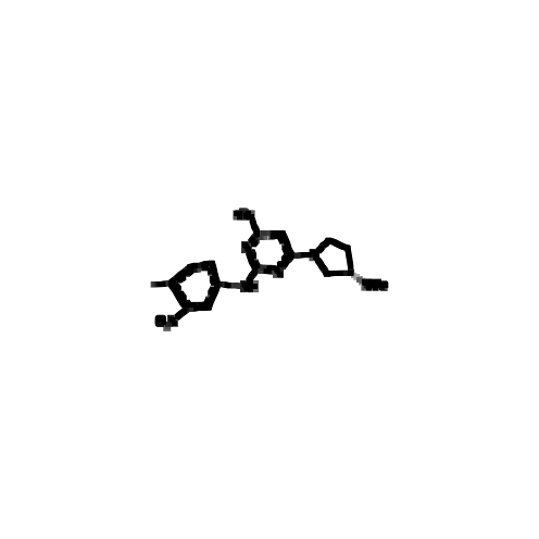 CCCCc1cc(N2CC[C@H](NC)C2)nc(Nc2ccc(C)c([N+](=O)[O-])c2)n1